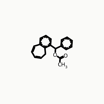 CC(=O)OC(c1ccccc1)c1cccc2c1CC=CC=C2